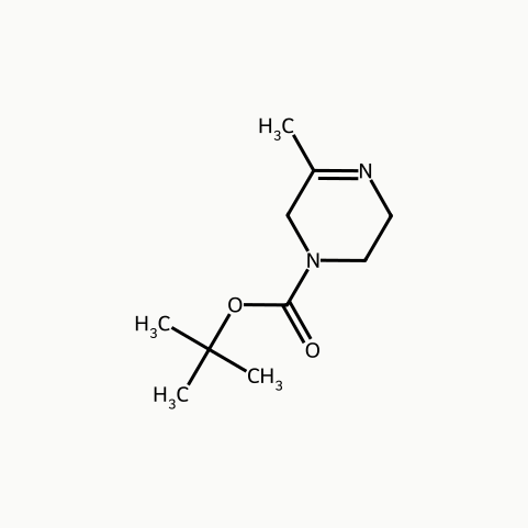 CC1=NCCN(C(=O)OC(C)(C)C)C1